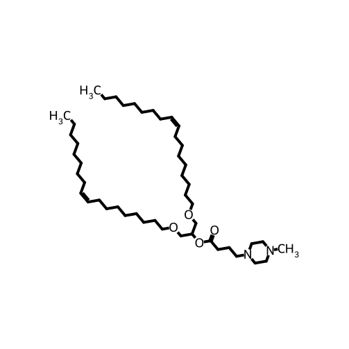 CCCCCCCC/C=C\CCCCCCCCOCC(COCCCCCCCC/C=C\CCCCCCCC)OC(=O)CCCN1CCN(C)CC1